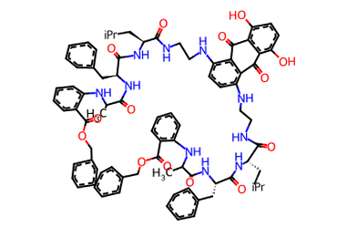 CC(C)C[C@H](NC(=O)[C@H](Cc1ccccc1)NC(=O)C(C)Nc1ccccc1C(=O)OCc1ccccc1)C(=O)NCCNc1ccc(NCCNC(=O)[C@H](CC(C)C)NC(=O)[C@H](Cc2ccccc2)NC(=O)C(C)Nc2ccccc2C(=O)OCc2ccccc2)c2c1C(=O)c1c(O)ccc(O)c1C2=O